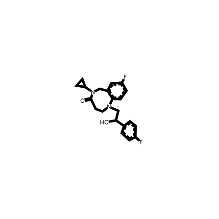 O=C1CCN(CC(O)c2ccc(F)cc2)c2ccc(F)cc2CN1C1CC1